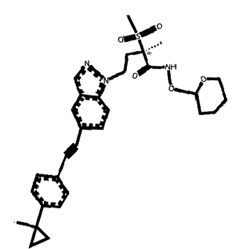 [CH2]C1(c2ccc(C#Cc3ccc4c(cnn4CC[C@](C)(C(=O)NOC4CCCCO4)S(C)(=O)=O)c3)cc2)CC1